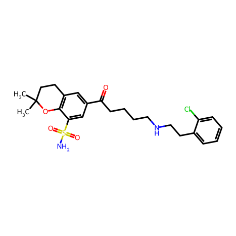 CC1(C)CCc2cc(C(=O)CCCCNCCc3ccccc3Cl)cc(S(N)(=O)=O)c2O1